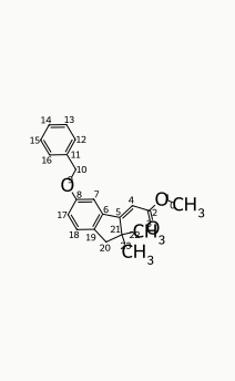 COC(=O)C=C1c2cc(OCc3ccccc3)ccc2CC1(C)C